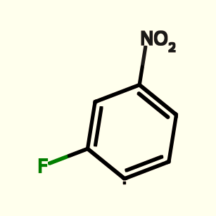 O=[N+]([O-])c1cc[c]c(F)c1